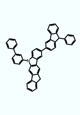 c1ccc(-c2cccc(-n3c4ccc(-c5ccc6c(c5)-c5ccccc5C6c5ccccc5)cc4c4cc5c(cc43)-c3ccccc3C5)c2)cc1